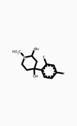 CC(C)(C)C1CC(O)(c2ccc(F)cc2F)CCN1C(=O)O